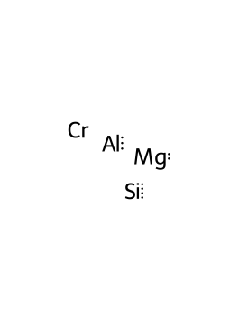 [Al].[Cr].[Mg].[Si]